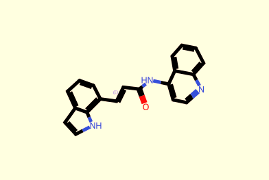 O=C(/C=C/c1cccc2cc[nH]c12)Nc1ccnc2ccccc12